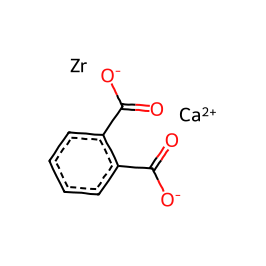 O=C([O-])c1ccccc1C(=O)[O-].[Ca+2].[Zr]